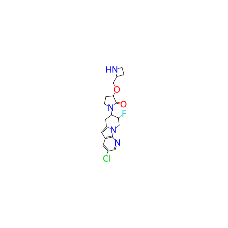 O=C1C(OCC2CCN2)CCN1C1Cc2cc3cc(Cl)cnc3n2CC1F